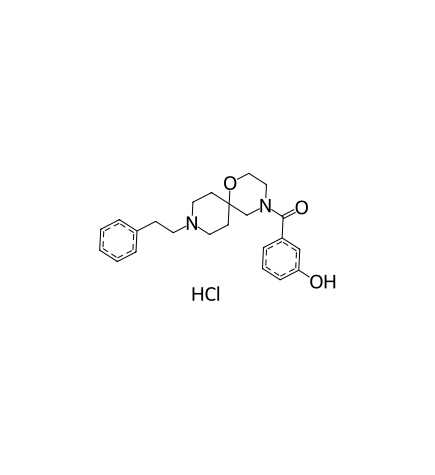 Cl.O=C(c1cccc(O)c1)N1CCOC2(CCN(CCc3ccccc3)CC2)C1